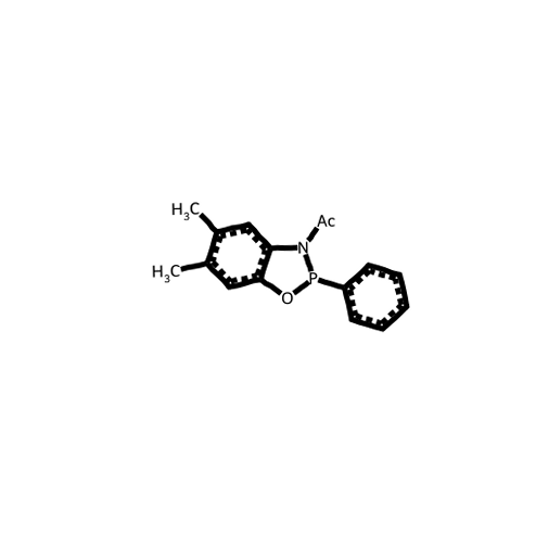 CC(=O)N1c2cc(C)c(C)cc2OP1c1ccccc1